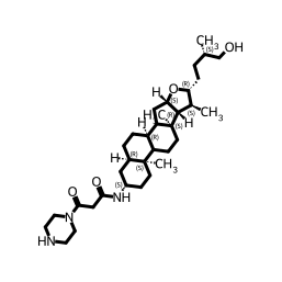 C[C@H](CO)CC[C@H]1O[C@H]2CC3[C@@H]4CC[C@@H]5C[C@@H](NC(=O)CC(=O)N6CCNCC6)CC[C@]5(C)C4CC[C@]3(C)[C@H]2[C@@H]1C